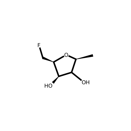 C[C@@H]1O[C@H](CF)[C@H](O)C1O